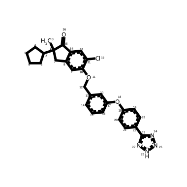 CC1(C2CCCC2)Cc2cc(OCc3cccc(Oc4ccc(-c5nn[nH]n5)cc4)c3)c(Cl)cc2C1=O